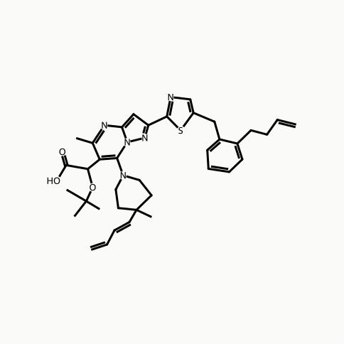 C=CC=CC1(C)CCN(c2c(C(OC(C)(C)C)C(=O)O)c(C)nc3cc(-c4ncc(Cc5ccccc5CCC=C)s4)nn23)CC1